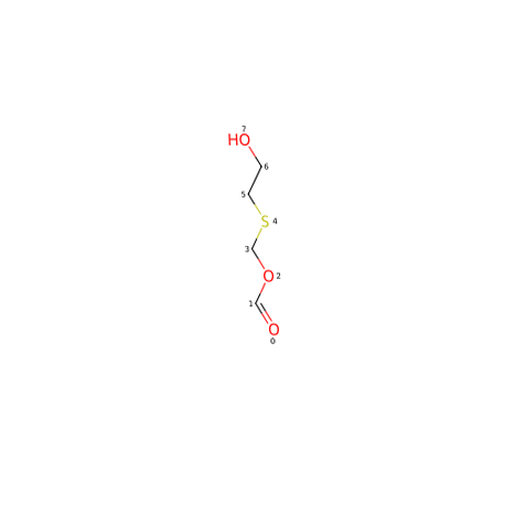 O=COCSCCO